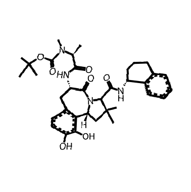 C[C@@H](C(=O)N[C@H]1Cc2ccc(O)c(O)c2[C@H]2CC(C)(C)C(C(=O)N[C@@H]3CCCc4ccccc43)N2C1=O)N(C)C(=O)OC(C)(C)C